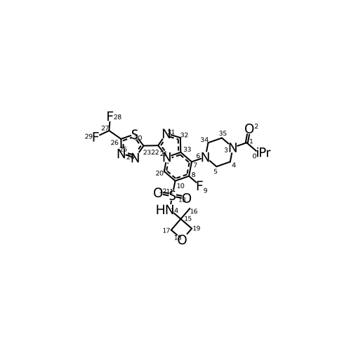 CC(C)C(=O)N1CCN(c2c(F)c(S(=O)(=O)NC3(C)COC3)cn3c(-c4nnc(C(F)F)s4)ncc23)CC1